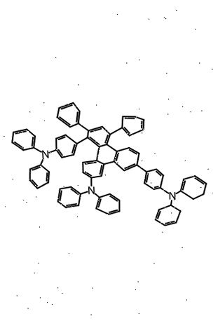 C1=CCCC(N(c2ccc(-c3ccc4c(c3)c3cc(N(c5ccccc5)c5ccccc5)ccc3c3c(-c5ccc(N(c6ccccc6)c6ccccc6)cc5)c(-c5ccccc5)cc(-c5ccccc5)c43)cc2)C2C=CC=CC2)=C1